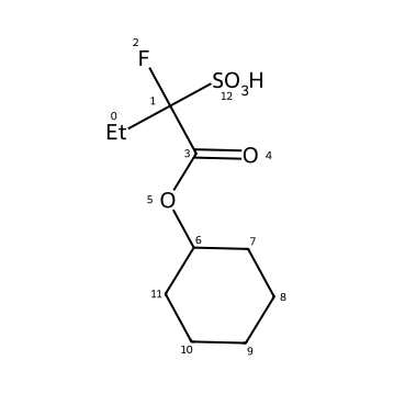 CCC(F)(C(=O)OC1CCCCC1)S(=O)(=O)O